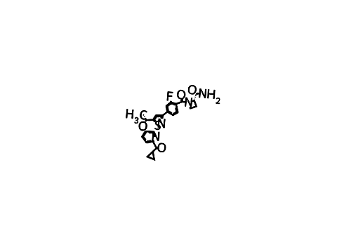 C[C@@H](Oc1ccc(C(=O)C2CC2)nc1)c1cc(-c2ccc(C(=O)N3CC[C@H]3C(N)=O)c(F)c2)ns1